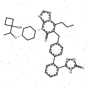 CCCc1c(Cc2ccc(-c3ccccc3-c3noc(=O)[nH]3)cc2)c(=O)n([C@H]2CC[C@@H](OC(C)C3(O)CCC3)CC2)c2ncnn12